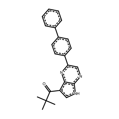 CC(C)(C)C(=O)c1c[nH]c2ncc(-c3ccc(-c4ccccc4)cc3)nc12